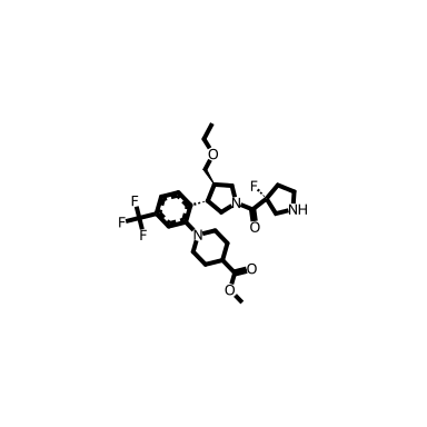 CCOC[C@H]1CN(C(=O)[C@@]2(F)CCNC2)C[C@@H]1c1ccc(C(F)(F)F)cc1N1CCC(C(=O)OC)CC1